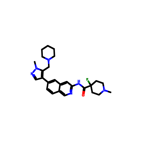 CN1CCC(F)(C(=O)Nc2cc3cc(-c4cnn(C)c4CN4CCCCC4)ccc3cn2)CC1